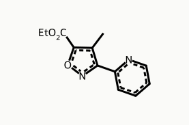 CCOC(=O)c1onc(-c2ccccn2)c1C